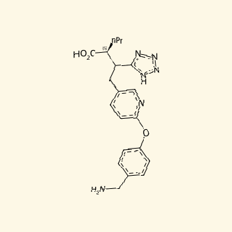 CCC[C@H](C(=O)O)C(Cc1ccc(Oc2ccc(CN)cc2)nc1)c1nnn[nH]1